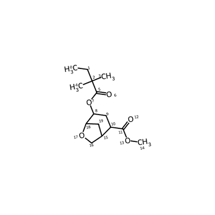 CCC(C)(C)C(=O)OC1CC(C(=O)OC)C2COC1C2